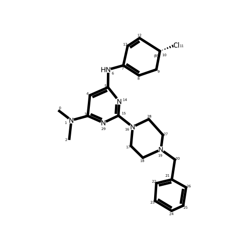 CN(C)c1cc(NC2=CC[C@@H](Cl)C=C2)nc(N2CCN(Cc3ccccc3)CC2)n1